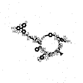 CC(C)C[C@H]1CN(C(=O)CC2CC2)CC(=O)N[C@@H](CCC(=O)O)CN(C(=O)Cc2ccc3c(c2)OCO3)CC(=O)N[C@@H](Cc2ccccc2)CN(CC(=O)N[C@@H](CCCCNC(=S)Nc2ccc(-c3c4ccc(=O)cc-4oc4cc(O)ccc34)c(C(=O)O)c2)C(N)=O)C(=O)CCSCc2ccc(cc2)C(=O)N[C@@H](CCCCN)CN(C(=O)CCCN)CC(=O)N1